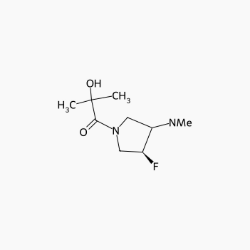 CNC1CN(C(=O)C(C)(C)O)C[C@@H]1F